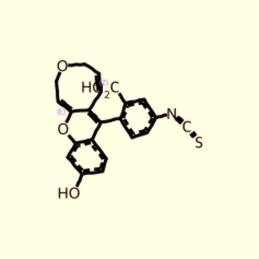 O=C(O)c1cc(N=C=S)ccc1C1=C2/C=C\COC/C=C\2Oc2cc(O)ccc21